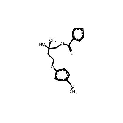 COc1ccc(OCC[C@](C)(O)COC(=O)c2ccccc2)cc1